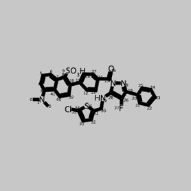 CN(C)c1cccc2c(S(=O)(=O)O)c(-c3ccc(C(=O)n4nc(-c5ccccc5)c(F)c4NCc4ccc(Cl)s4)cc3)ccc12